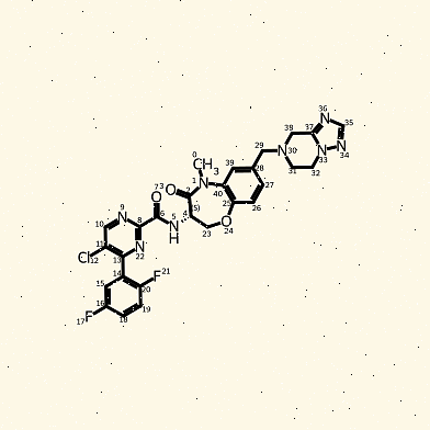 CN1C(=O)[C@@H](NC(=O)c2ncc(Cl)c(-c3cc(F)ccc3F)n2)COc2ccc(CN3CCn4ncnc4C3)cc21